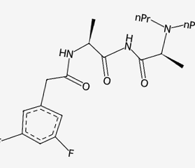 CCCN(CCC)[C@@H](C)C(=O)NC(=O)[C@H](C)NC(=O)Cc1cc(F)cc(F)c1